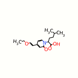 CCO/C=C/c1ccn(C(CCC(C)C)C(=O)O)c(=O)c1